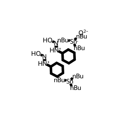 CCC[CH2][Sn]([CH2]CCC)[CH2]CCC.CCC[CH2][Sn]([CH2]CCC)[CH2]CCC.ON=[NH+]C1CCCCC1.ON=[NH+]C1CCCCC1.[O-2]